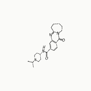 CC(C)N1CCC(NC(=O)c2ccc3c(=O)n4c(nc3c2)CCCCC4)CC1